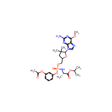 COc1nc(N)nc2c1ncn2C1OC(COP(=O)(N[C@@H](C)C(=O)OC(C)C)Oc2cccc(OC(C)=O)c2)CC1(C)C